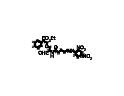 CCOC(=O)N(COC[C@@H](C=O)NC(=O)CCCCCNc1ccc([N+](=O)[O-])cc1[N+](=O)[O-])c1ccccc1